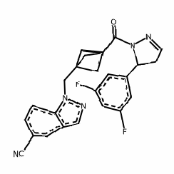 N#Cc1ccc2c(cnn2CC23CC(C(=O)N4N=CCC4c4cc(F)cc(F)c4)(C2)C3)c1